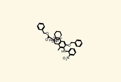 Cc1c2c(cc(OCc3ccccc3)c1Nc1ccccc1[N+](=O)[O-])[C@@]13CCCC[C@H]1[C@@H](C2)N(C(=O)OCc1ccccc1)CC3